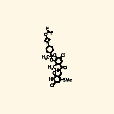 CSc1cc(Cl)[nH]c(=O)c1CNC(=O)c1cc(Cl)c2c(c1C)OC(C)(C1CCC(N3CC(OC(F)F)C3)CC1)O2